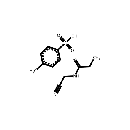 CCC(=O)NCC#N.Cc1ccc(S(=O)(=O)O)cc1